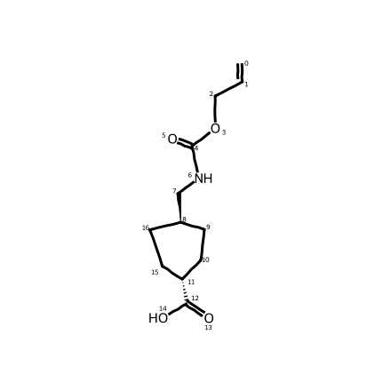 C=CCOC(=O)NC[C@H]1CC[C@H](C(=O)O)CC1